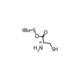 CC(C)(C)SOC(=O)[C@@H](N)CS